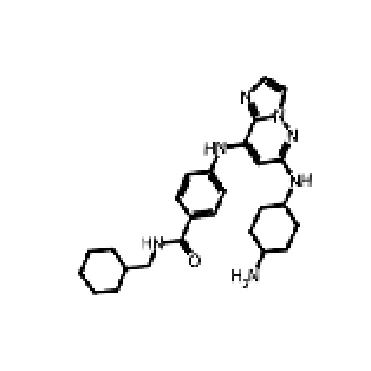 NC1CCC(Nc2cc(Nc3ccc(C(=O)NCC4CCCCC4)cc3)c3nccn3n2)CC1